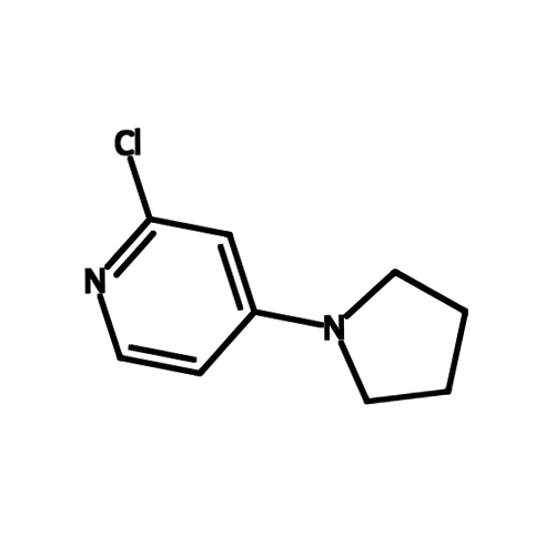 Clc1cc(N2CCCC2)ccn1